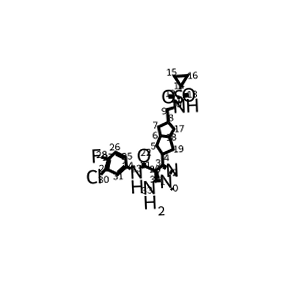 Cn1nc(C2CC3CC(CNS(=O)(=O)C4CC4)CC3C2)c(C(=O)Nc2ccc(F)c(Cl)c2)c1N